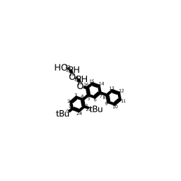 CC(C)(C)c1ccc(-c2cc(-c3ccccc3)ccc2OPOPO)c(C(C)(C)C)c1